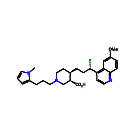 COc1ccc2nccc([C@@H](F)CC[C@@H]3CCN(CCCc4cccn4C)C[C@@H]3C(=O)O)c2c1